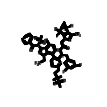 CC(C)(CCc1ccc(-c2ccc(Cl)c3c(N(C(=O)c4cccnc4)S(C)(=O)=O)nn(CC(F)(F)F)c23)c([C@H](Cc2cc(F)cc(F)c2)NC(=O)Cn2nc(C(F)(F)F)c3c2C(F)(F)C2C[C@H]32)n1)S(C)(=O)=O